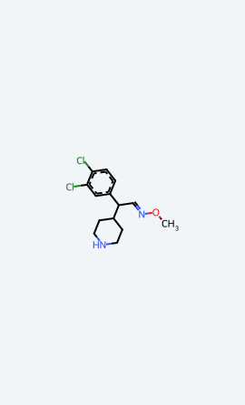 CO/N=C/C(c1ccc(Cl)c(Cl)c1)C1CCNCC1